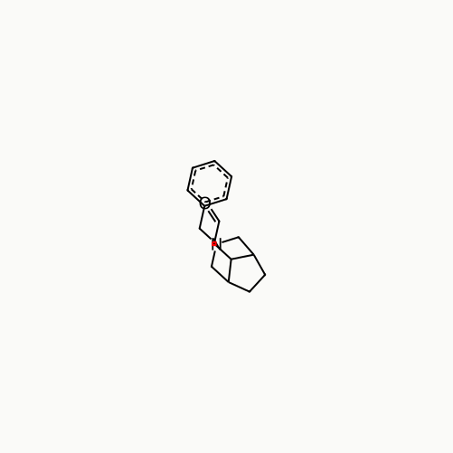 O=CCC1C2CCC1CN(Cc1ccccc1)C2